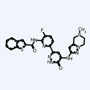 CN1CCn2nc(Nc3cc(-c4ccc(F)c(NC(=O)c5cc6ccccc6s5)n4)n[nH]c3=O)cc2C1